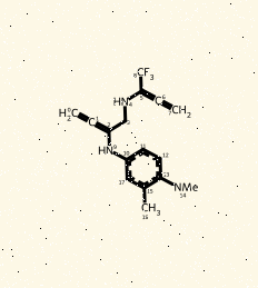 C=C=C(CNC(=C=C)C(F)(F)F)Nc1ccc(NC)c(C)c1